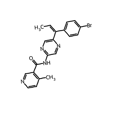 CC=C(c1ccc(Br)cc1)c1cnc(NC(=O)c2cnccc2C)cn1